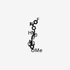 COc1cc(C)c(S(=O)(=O)N(C)CCOCC(=O)NCC2CCC(C(c3ccc(F)cc3)N(C)C)CC2)c(C)c1